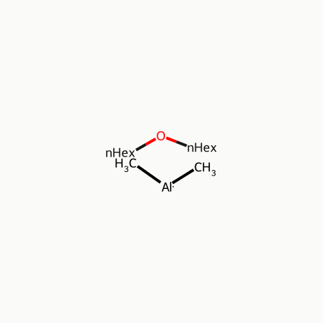 CCCCCCOCCCCCC.[CH3][Al][CH3]